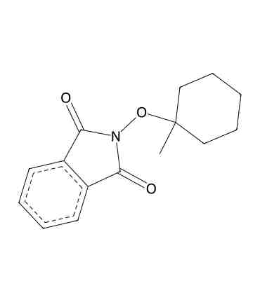 CC1(ON2C(=O)c3ccccc3C2=O)CCCCC1